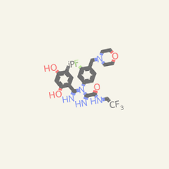 CC(C)c1cc(C(=N)N(C(=N)C(=O)NCC(F)(F)F)c2ccc(CN3CCOCC3)c(F)c2)c(O)cc1O